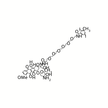 COc1cccc2c1C(=O)c1c(O)c3c(c(O)c1C2=O)C[C@](O)(/C(CO)=N/NC(=O)CCOCCOCCOCCOCCOCCOCCNC(=O)c1cc(I)cc(C)c1I)C[C@@H]3O[C@H]1C[C@@H](N)[C@H](O)C(C)O1